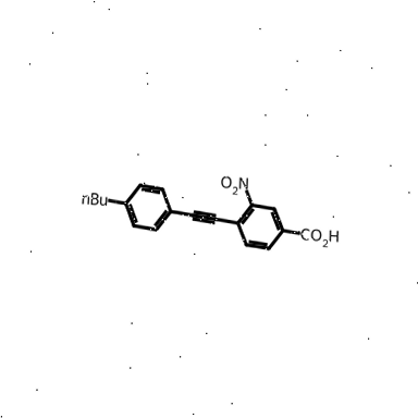 CCCCc1ccc(C#Cc2ccc(C(=O)O)cc2[N+](=O)[O-])cc1